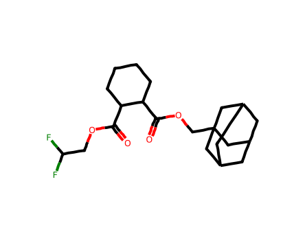 O=C(OCC(F)F)C1CCCCC1C(=O)OCC12CC3CC(CC(C3)C1)C2